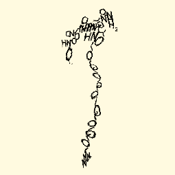 [CH2]c1ccc(NC(=O)[C@@H]2CCCN2C(=O)CNC(=O)[C@H](CCCNC(N)=O)NC(=O)[C@@H](NC(=O)CCOCCOCCOCCOCCOCCOCCOCCOCCOCCN=[N+]=[N-])C(C)C)cc1